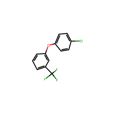 FC(F)(F)c1cccc(Oc2ccc(Cl)cc2)c1